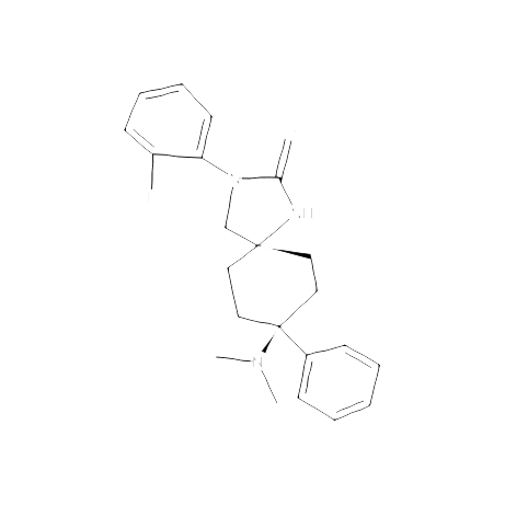 CN(C)[C@]1(c2ccccc2)CC[C@@]2(CC1)CN(c1ccccc1F)C(=O)N2